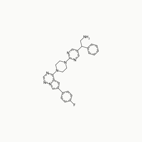 NCC(c1ccccc1)c1cnc(N2CCN(c3ncnn4cc(-c5ccc(F)cc5)cc34)CC2)nc1